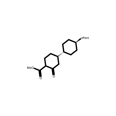 CCCCC[C@H]1CC[C@H](C2CCC(C(=O)OC)C(=O)C2)CC1